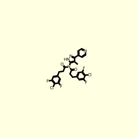 Cc1c(-c2ccncc2)n[nH]c1N(C(=O)CCc1cc(F)c(Cl)c(F)c1)C(=O)CCc1cc(F)c(Cl)c(F)c1